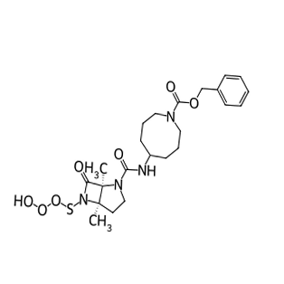 C[C@@]12CCN(C(=O)NC3CCCN(C(=O)OCc4ccccc4)CCC3)[C@]1(C)C(=O)N2SOOO